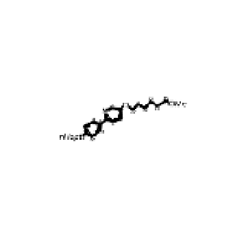 CCCCCCCc1ccc(-c2ccc(OCCCCCCOC)cn2)cc1